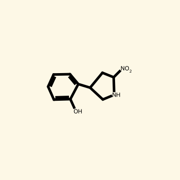 O=[N+]([O-])C1CC(c2ccccc2O)CN1